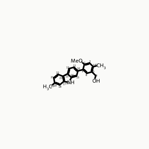 COc1cc(C)c(CO)cc1-c1ccc2c(c1)[nH]c1cc(C)ccc12